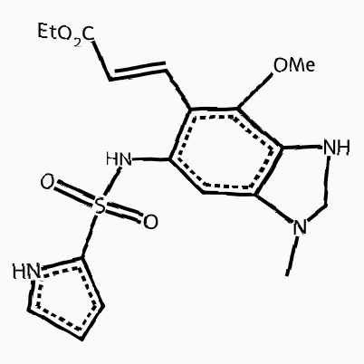 CCOC(=O)/C=C/c1c(NS(=O)(=O)c2ccc[nH]2)cc2c(c1OC)NCN2C